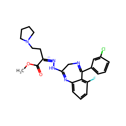 COC(=O)/C(CCN1CCCC1)=N\NC1=Nc2cccc(F)c2C(c2cccc(Cl)c2)=NC1